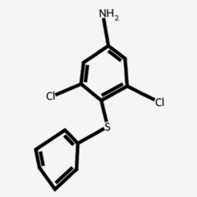 Nc1cc(Cl)c(Sc2ccccc2)c(Cl)c1